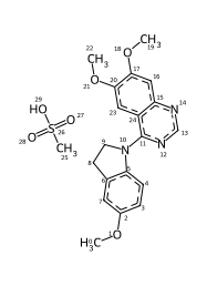 COc1ccc2c(c1)CCN2c1ncnc2cc(OC)c(OC)cc12.CS(=O)(=O)O